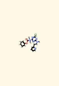 CN(CCc1ccccn1)c1nc(Cl)nc([N+](C)(C)C(=O)OC2=CC[CH]C=C2)n1